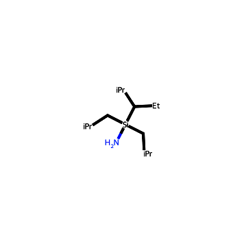 CCC(C(C)C)[Si](N)(CC(C)C)CC(C)C